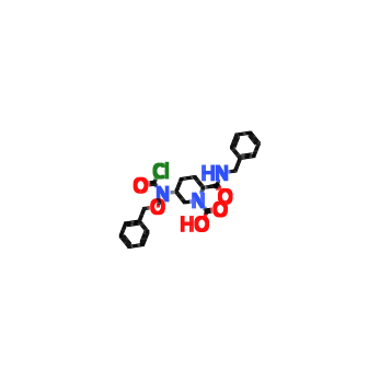 O=C(NCc1ccccc1)[C@@H]1CC[C@@H](N(OCc2ccccc2)C(=O)Cl)CN1C(=O)O